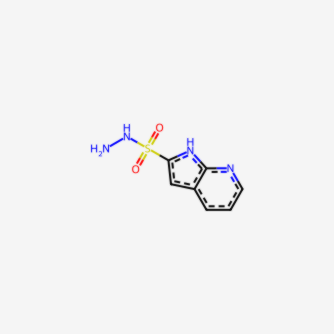 NNS(=O)(=O)c1cc2cccnc2[nH]1